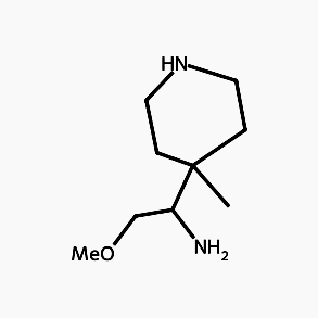 COCC(N)C1(C)CCNCC1